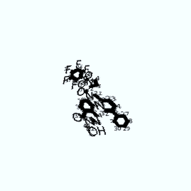 O=C([C@H]1CCN1S(=O)(=O)c1c(F)c(F)c(F)c(F)c1F)N(Cc1ccc(C2CCCCC2)cn1)c1ccc2c(=O)n(CO)ncc2c1